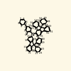 Cc1cc(-c2ccccc2)ccc1N(c1ccc2c(c1)C(c1ccccc1)(c1ccccc1)c1ccccc1-2)c1ccc2c(c1)C(c1ccccc1)(c1ccccc1)c1ccccc1-2